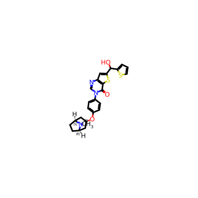 CN1[C@@H]2CC[C@H]1C[C@@H](Oc1ccc(-n3cnc4cc(C(O)c5cccs5)sc4c3=O)cc1)C2